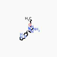 CCCCOc1nc(N)c2ncc(CC3CCN(CC4CCCN4)CC3)n2n1